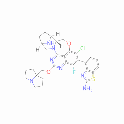 Nc1nc2c(-c3c(Cl)c4c5c(nc(OCC67CCCN6CCC7)nc5c3F)N3C[C@H]5CC[C@H](N5)[C@@H]3CO4)cccc2s1